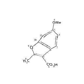 COc1ccc2c(C(=O)O)c(C)oc2c1